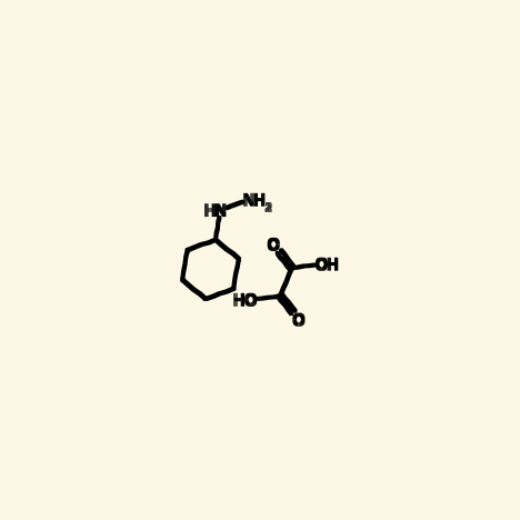 NNC1CCCCC1.O=C(O)C(=O)O